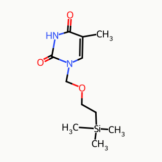 Cc1cn(COCC[Si](C)(C)C)c(=O)[nH]c1=O